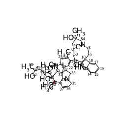 CCC1(O)CC2C[N@](CCc3c([nH]c4ccccc34)[C@@](C)(c3cc4c(cc3C)N(C)C3C45CCN4CC=C[C@](CC)(C45)[C@@H](O)[C@]3(O)C(=O)NCC(C)O)C2)C1